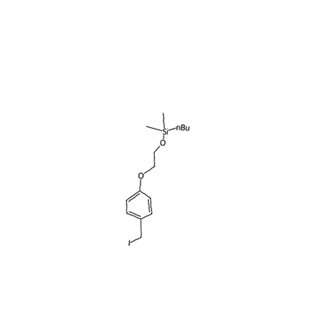 CCCC[Si](C)(C)OCCOc1ccc(CI)cc1